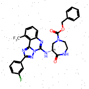 O=C1NCCN(C(=O)OCc2ccccc2)C[C@H]1Nc1nc2cccc(C(F)(F)F)c2c2nc(-c3cccc(F)c3)nn12